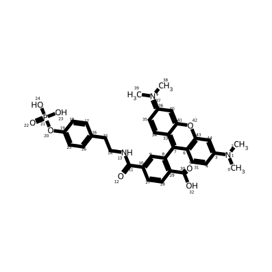 CN(C)c1ccc2c(-c3cc(C(=O)NCCc4ccc(OP(=O)(O)O)cc4)ccc3C(=O)O)c3ccc(=[N+](C)C)cc-3oc2c1